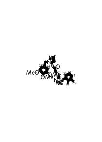 COc1cc(Cn2nccc2NC(=O)CSc2nnnn2-c2cccc(C)c2C)cc(OC)c1OC